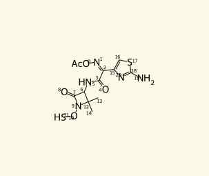 CC(=O)O/N=C(\C(=O)NC1C(=O)N(OS)C1(C)C)c1csc(N)n1